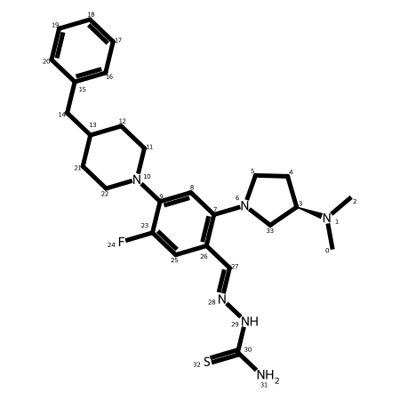 CN(C)[C@@H]1CCN(c2cc(N3CCC(Cc4ccccc4)CC3)c(F)cc2/C=N/NC(N)=S)C1